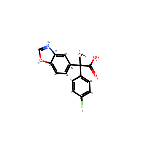 CC(C(=O)O)(c1ccc(F)cc1)c1ccc2ocnc2c1